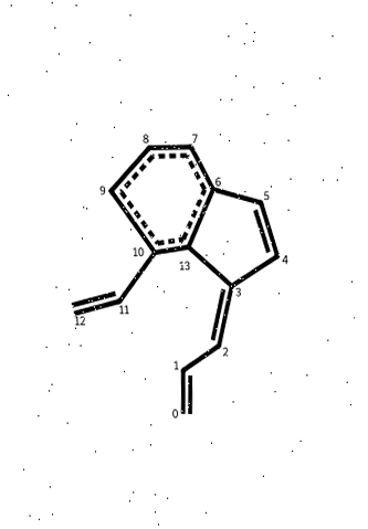 C=C/C=C1/C=Cc2cccc(C=C)c21